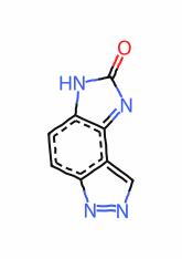 O=C1N=c2c(ccc3c2=CN=N3)N1